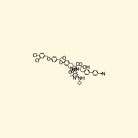 Cc1nc(NC2CCC2)sc1S(=O)(=O)N1Cc2cc3c(cc2CC1C(=O)NC(Cc1ccc(-c2ccc(C#N)cc2)cc1)C(=O)O)OCC(c1ccc(OCc2ccc(Cl)c(Cl)c2)cc1)O3